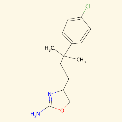 CC(C)(CCC1COC(N)=N1)c1ccc(Cl)cc1